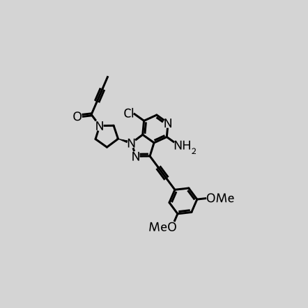 CC#CC(=O)N1CC[C@H](n2nc(C#Cc3cc(OC)cc(OC)c3)c3c(N)ncc(Cl)c32)C1